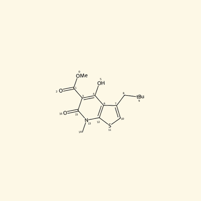 COC(=O)c1c(O)c2c(CC(C)(C)C)csc2n(C)c1=O